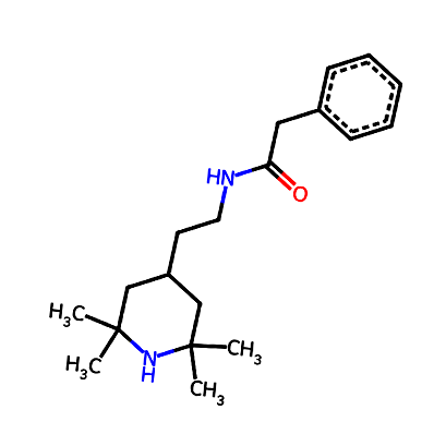 CC1(C)CC(CCNC(=O)Cc2ccccc2)CC(C)(C)N1